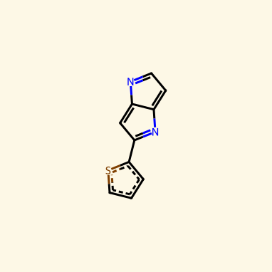 C1=NC2=CC(c3cccs3)=NC2=C1